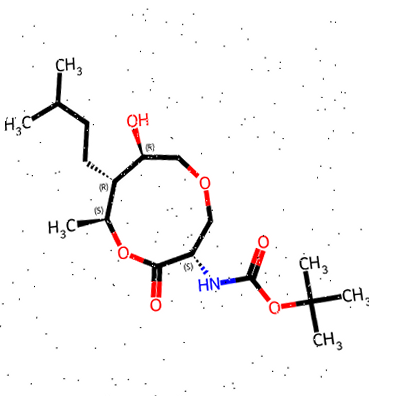 CC(C)CC[C@H]1[C@H](C)OC(=O)[C@@H](NC(=O)OC(C)(C)C)COC[C@@H]1O